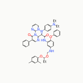 CCC(OCNc1ccc(Oc2ccccc2)c(NC(=O)/C(=N\c2ccc(N(CC)CC)cc2)c2ncc(-c3ccccc3)c(=O)n2-c2ncccn2)c1)Oc1ccc(C)cc1C